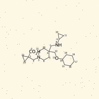 O=C(O)C1(CN2CCC(CNC3CC3)(COC3CCCCC3)CC2)CC1